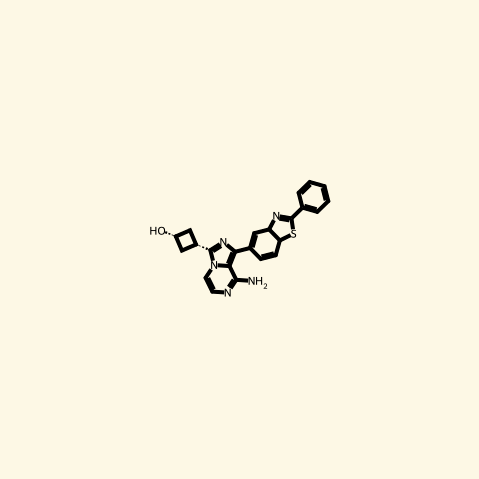 Nc1nccn2c1c(C1=CC3N=C(c4ccccc4)SC3C=C1)nc2[C@H]1C[C@@H](O)C1